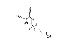 COCCOC(F)(F)c1nc(C#N)c(C#N)[nH]1